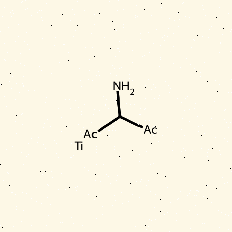 CC(=O)C(N)C(C)=O.[Ti]